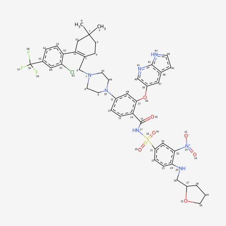 CC1(C)CCC(CN2CCN(c3ccc(C(=O)NS(=O)(=O)c4ccc(NCC5CCCO5)c([N+](=O)[O-])c4)c(Oc4cnc5[nH]ccc5c4)c3)CC2)=C(c2ccc(C(F)(F)F)cc2Cl)C1